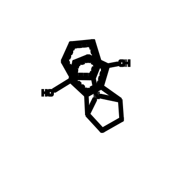 Oc1ccc(O)c2c1C1CCC2N1c1ccccc1